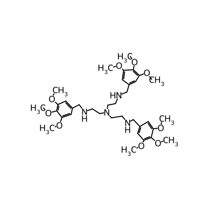 COc1cc(CNCCN(CCNCc2cc(OC)c(OC)c(OC)c2)CCNCc2cc(OC)c(OC)c(OC)c2)cc(OC)c1OC